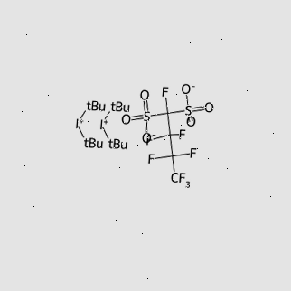 CC(C)(C)[I+]C(C)(C)C.CC(C)(C)[I+]C(C)(C)C.O=S(=O)([O-])C(F)(C(F)(F)C(F)(F)C(F)(F)F)S(=O)(=O)[O-]